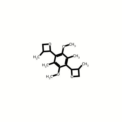 COc1c(C)c(C2OCC2C)c(OC)c(C)c1C1OCC1C